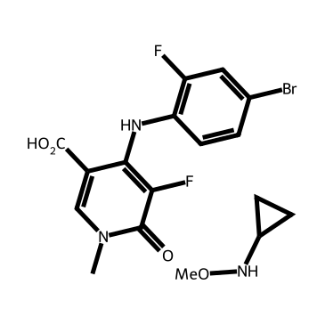 CONC1CC1.Cn1cc(C(=O)O)c(Nc2ccc(Br)cc2F)c(F)c1=O